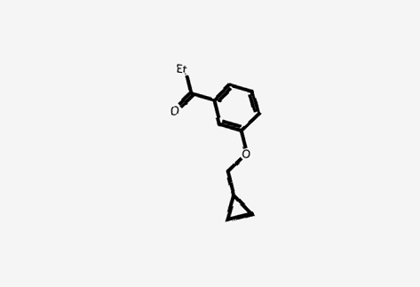 CCC(=O)c1cccc(OCC2CC2)c1